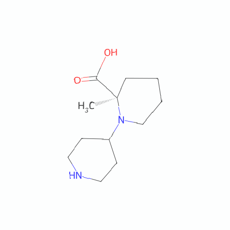 C[C@]1(C(=O)O)CCCCN1C1CCNCC1